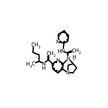 C=C(NC(C)CCC)c1ccc2c(n1)N(C(=C)Nc1ccccn1)[C@H]1CCN2C1